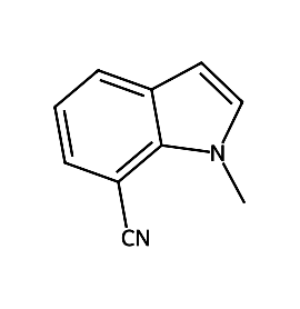 Cn1ccc2cccc(C#N)c21